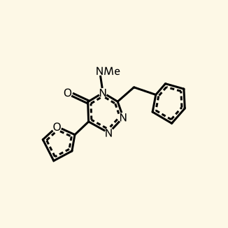 CNn1c(Cc2ccccc2)nnc(-c2ccco2)c1=O